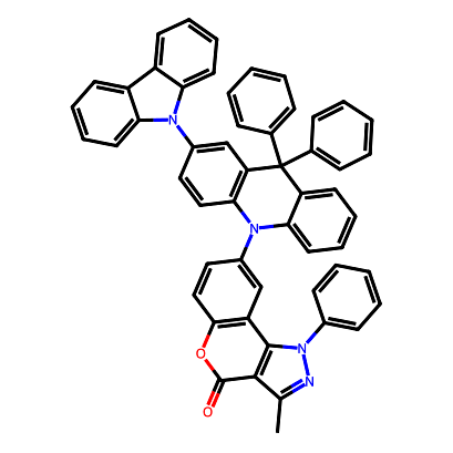 Cc1nn(-c2ccccc2)c2c1c(=O)oc1ccc(N3c4ccccc4C(c4ccccc4)(c4ccccc4)c4cc(-n5c6ccccc6c6ccccc65)ccc43)cc12